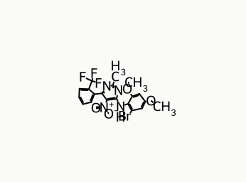 COc1cc(Br)c(Nc2nc(C)nc(-c3ccccc3C(F)(F)F)c2[N+](=O)[O-])c(OC)c1